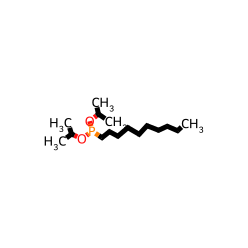 CCCCCCCCCCP(OC(C)C)OC(C)C